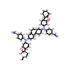 C=C/C=C\c1c(C)oc2cc(N(c3ccc(C#N)cc3)c3ccc4c(ccc5cc(N(c6ccc(C#N)cc6)c6ccc7c(c6)oc6ccccc67)ccc54)c3)ccc12